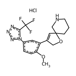 COc1ccc(-n2nnnc2C(F)(F)F)cc1C1=CC2(CCCNC2)OC1.Cl